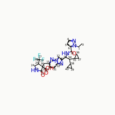 CCn1nccc1C(=O)NC(c1cn2nc(CC3(C(=O)O)C(=O)NCC3C(F)(F)F)ccc2n1)C(C1CC1)C1CC1